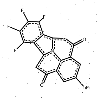 CCCc1cc2c(=O)cc3c4c(F)c(F)c(F)c(F)c4c4cc(=O)c(c1)c2n34